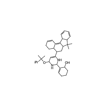 CC(C)C(C)(C)OC1C=C(C2CC3C(=C4C=CCCC42)C2C=CC=CC2C3(C)C)NC(C2=CCCCC2O)N1